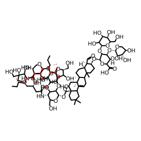 CC[C@H](C)[C@H](C[C@H](O)CC(=O)N[C@H]1C(CO)O[C@@H](OC(=O)[C@]23CCC(C)(C)CC2C2=CCC4C5(C)CC[C@H](O[C@@H]6OC(C(=O)O)[C@@H](O)[C@H](O[C@@H]7OC[C@@H](O)[C@H](O)C7O)C6O[C@@H]6OC(CO)[C@H](O)[C@H](O)C6O)[C@](C)(C=O)[C@@H]5CC[C@]4(C)[C@]2(C)CC3O)C(OC2OC(C)[C@H](O[C@@H]3OC[C@@H](O)C(O[C@@H]4OC[C@](O)(CO)C4O)C3O)C(O)C2O)C1O)NC(=O)C[C@@H](O)C[C@H](O[C@@H]1O[C@@H](CO)C(O)C1O)[C@@H](C)CC